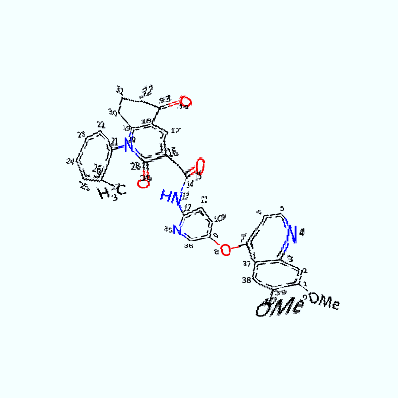 COc1cc2nccc(Oc3ccc(NC(=O)c4cc5c(n(-c6ccccc6C)c4=O)CCCC5=O)nc3)c2cc1OC